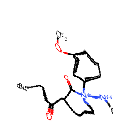 CC(C)(C)CC(=O)C1CC[N+](NC=O)(c2cccc(OC(F)(F)F)c2)C1=O